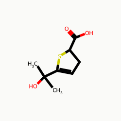 CC(C)(O)C1=CCC(C(=O)O)S1